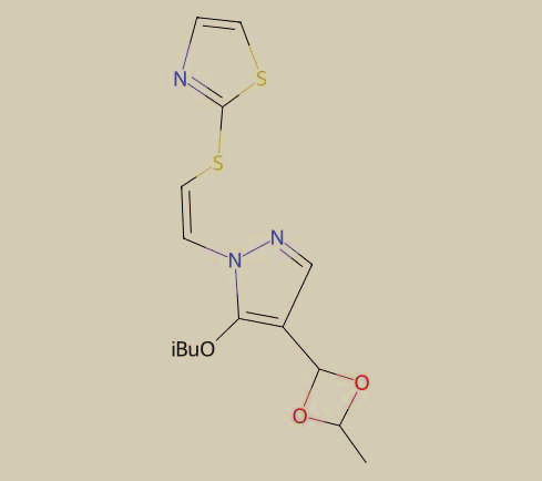 CC(C)COc1c(C2OC(C)O2)cnn1/C=C\Sc1nccs1